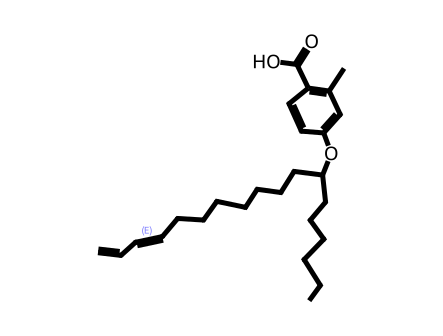 C=C/C=C/CCCCCCCC(CCCCCC)Oc1ccc(C(=O)O)c(C)c1